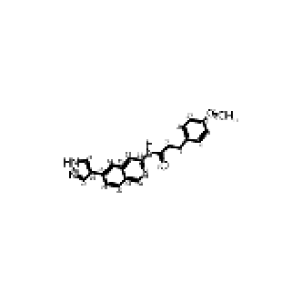 COc1ccc(CCC(=O)Nc2cc3cc(-c4cn[nH]c4)ccc3cn2)cc1